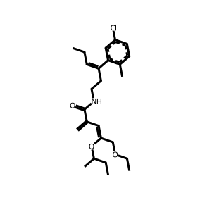 C=C(/C=C(/COCC)OC(C)CC)C(=O)NCC/C(=C/CC)c1cc(Cl)ccc1C